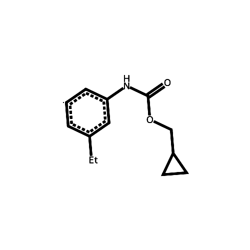 CCc1c[c]cc(NC(=O)OCC2CC2)c1